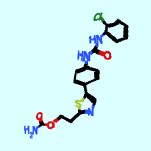 NC(=O)OCCc1ncc(-c2ccc(NC(=O)Nc3ccccc3Cl)cc2)s1